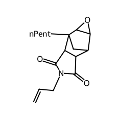 C=CCN1C(=O)C2C3CC(CCCCC)(C4OC34)C2C1=O